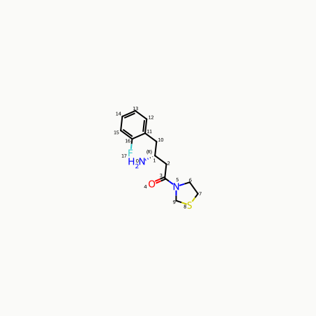 N[C@@H](CC(=O)N1CCSC1)Cc1ccccc1F